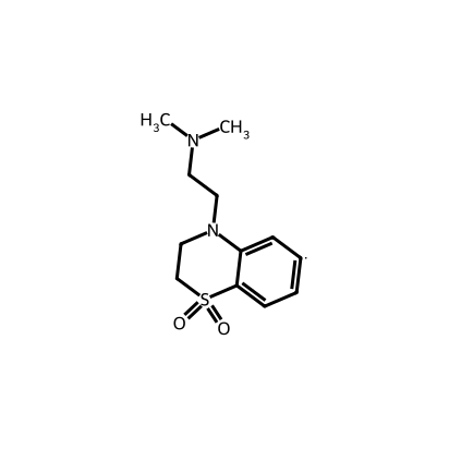 CN(C)CCN1CCS(=O)(=O)c2cc[c]cc21